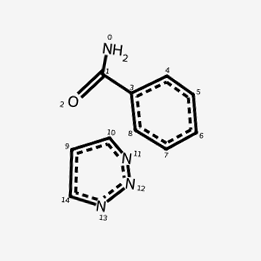 NC(=O)c1ccccc1.c1cnnnc1